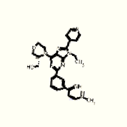 CCn1c(-c2ccncc2)nc2c(N3CCOC[C@H]3CO)nc(-c3cccc(C(=N)/C=C\NC)c3)nc21